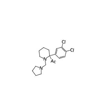 CC(=O)C1(c2ccc(Cl)c(Cl)c2)CCCCN1CN1CCCC1